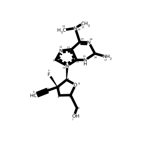 C#C[C@@]1(F)CC(CO)O[C@@H]1n1cnc2c1NC(N)N=C2N(C)C